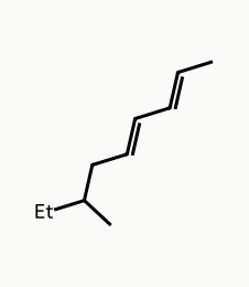 CC=CC=CCC(C)CC